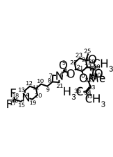 COC1C(OC(=O)N2CC(CCC3CCN(CC(F)F)CC3)C2)CCC2(CO2)C1[C@@]1(C)O[C@@H]1CC=C(C)C